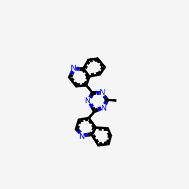 Cc1nc(-c2ccnc3ccccc23)nc(-c2ccnc3ccccc23)n1